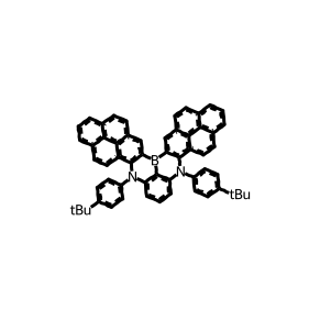 CC(C)(C)c1ccc(N2c3cccc4c3B(c3cc5ccc6cccc7ccc(c32)c5c67)c2cc3ccc5cccc6ccc(c2N4c2ccc(C(C)(C)C)cc2)c3c56)cc1